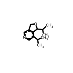 CC(C)c1cncc2c1C(C(C)C)OC2